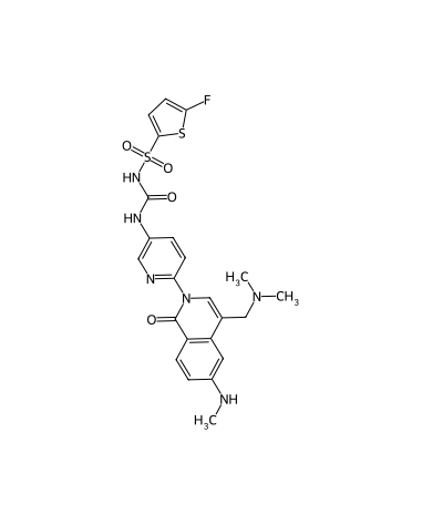 CNc1ccc2c(=O)n(-c3ccc(NC(=O)NS(=O)(=O)c4ccc(F)s4)cn3)cc(CN(C)C)c2c1